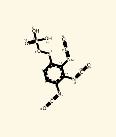 O=C=Nc1ccc(SOP(=O)(O)O)c(N=C=O)c1N=C=O